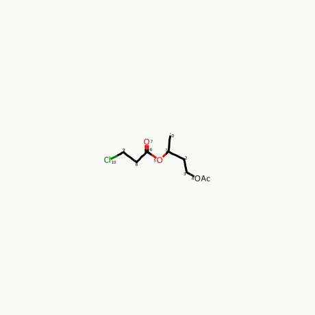 [CH2]C(CCOC(C)=O)OC(=O)CCCl